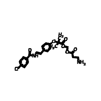 CC(C)(Oc1ccc(CCNC(=O)c2ccc(Cl)cc2)cc1)C(=O)OCOC(=O)CCN